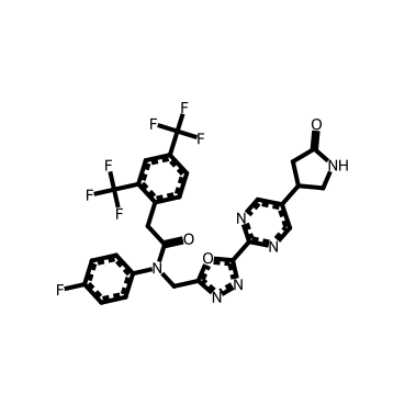 O=C1CC(c2cnc(-c3nnc(CN(C(=O)Cc4ccc(C(F)(F)F)cc4C(F)(F)F)c4ccc(F)cc4)o3)nc2)CN1